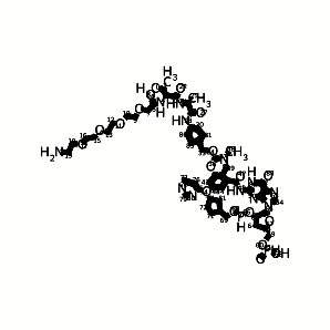 CC(C)[C@H](NC(=O)COCCOCCOCCOCCN)C(=O)N[C@@H](C)C(=O)Nc1ccc(COC(=O)N(C)Cc2ccccc2C(=O)Nc2nc3c(ncn3[C@@H]3O[C@H](CO[PH](=O)O)C[C@H]3OPOCC3CC[C@H](Oc4ccncn4)C3)c(=O)[nH]2)cc1